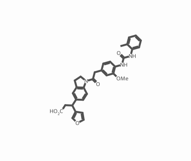 COc1cc(CC(=O)N2CCc3cc(C(CC(=O)O)c4ccoc4)ccc32)ccc1NC(=O)Nc1ccccc1C